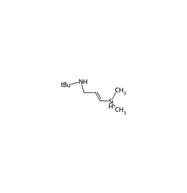 C[SiH](C)C=CCNC(C)(C)C